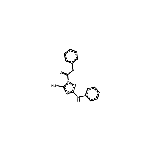 Nc1nc(Nc2ccccc2)nn1C(=O)Cc1ccccc1